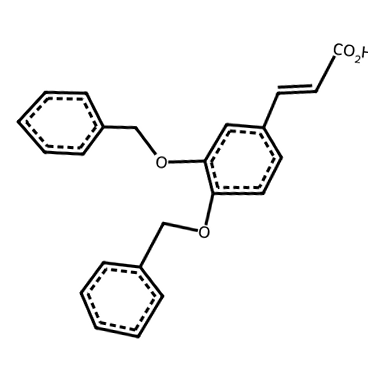 O=C(O)/C=C/c1ccc(OCc2ccccc2)c(OCc2ccccc2)c1